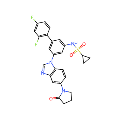 O=C1CCCN1c1ccc2c(c1)ncn2-c1cc(NS(=O)(=O)C2CC2)cc(-c2ccc(F)cc2F)c1